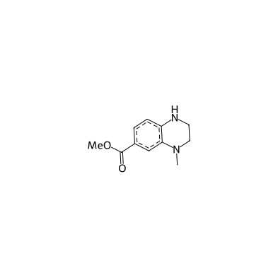 COC(=O)c1ccc2c(c1)N(C)CCN2